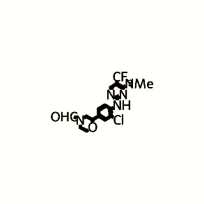 CNc1nc(Nc2ccc(C3CN(C=O)CCO3)cc2Cl)ncc1C(F)(F)F